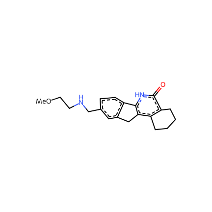 COCCNCc1ccc2c(c1)Cc1c-2[nH]c(=O)c2c1CCCC2